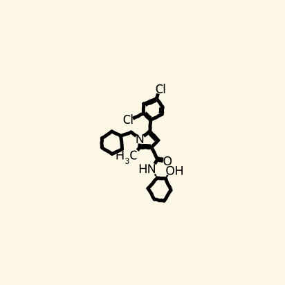 Cc1c(C(=O)N[C@H]2CCCC[C@H]2O)cc(-c2ccc(Cl)cc2Cl)n1CC1CCCCC1